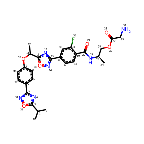 CC(C)c1nc(-c2ccc(OC(C)c3nc(-c4ccc(C(=O)N[C@H](C)COC(=O)CN)c(F)c4)no3)cc2)no1